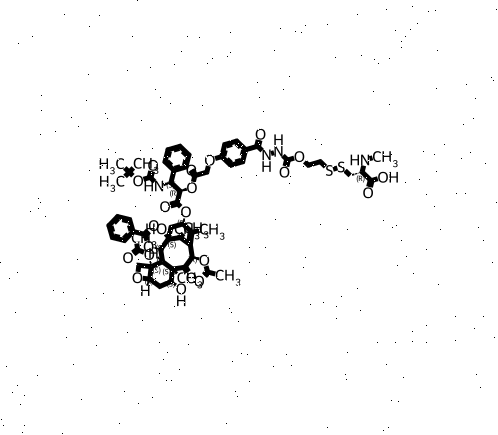 CN[C@@H](CSSCCOC(=O)NNC(=O)c1ccc(OCC(=O)O[C@@H](C(=O)O[C@H]2C[C@@]3(O)[C@@H](OC(=O)c4ccccc4)[C@@H]4[C@]5(OC(C)=O)CO[C@@H]5C[C@H](O)[C@@]4(C)C(=O)[C@H](OC(C)=O)C(=C2C)C3(C)C)[C@@H](NC(=O)OC(C)(C)C)c2ccccc2)cc1)C(=O)O